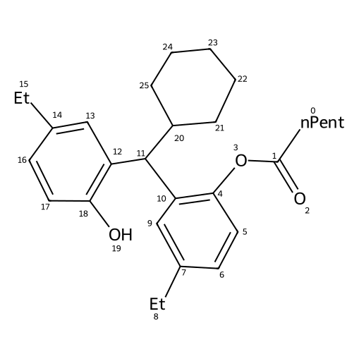 CCCCCC(=O)Oc1ccc(CC)cc1C(c1cc(CC)ccc1O)C1CCCCC1